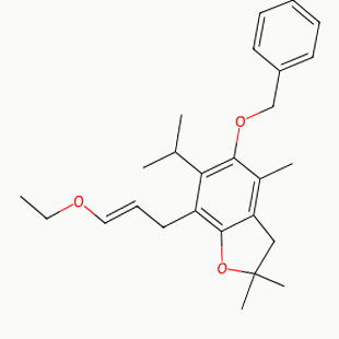 CCO/C=C/Cc1c2c(c(C)c(OCc3ccccc3)c1C(C)C)CC(C)(C)O2